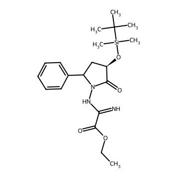 CCOC(=O)C(=N)NN1C(=O)[C@H](O[Si](C)(C)C(C)(C)C)CC1c1ccccc1